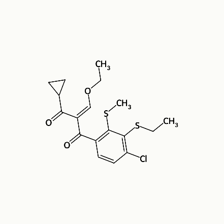 CCOC=C(C(=O)c1ccc(Cl)c(SCC)c1SC)C(=O)C1CC1